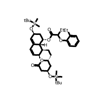 CCc1ccccc1OC(CC)C(=O)O[C@H]1C[C@H](O[Si](C)(C)C(C)(C)C)C=C2C=C[C@H](C)[C@H](CC[C@@H]3C[C@@H](O[Si](C)(C)C(C)(C)C)CC(=O)O3)[C@H]21